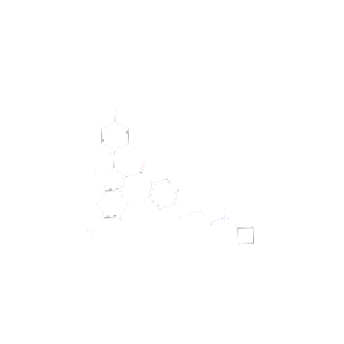 O=C(c1ccc(OCCNC2CCC2)cc1)c1c(-c2ccc(O)cc2)sc2cc(O)ccc12